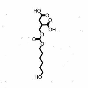 O=C(O)CC(COC(=O)OCCCCCCO)C(=O)O